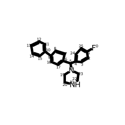 Fc1ccc(C(c2ccc(-c3ccccc3)cc2)N2CCNCC2)cc1